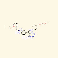 COCCOC1CCC(n2cc(-c3ccc4[nH]c(Cc5ccccc5OC)nc4c3)c3c(N)ncnc32)CC1